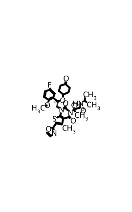 COc1ccc(F)cc1[C@H](Cn1c(=O)n(C(C)(C)C(=O)NC(C)C)c(=O)c2c(C)c(-c3ncco3)sc21)OC1CCC(=O)CC1